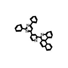 C1=CC2C=Cc3c(-c4cc(-c5cc(-c6ccccc6)nc(-c6ccccc6)n5)ccn4)nc4ccccc4c3C2C=C1